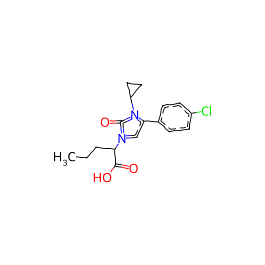 CCCC(C(=O)O)n1cc(-c2ccc(Cl)cc2)n(C2CC2)c1=O